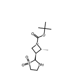 C[C@@H]1[C@@H](C2NCCS2(=O)=O)CN1C(=O)OC(C)(C)C